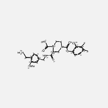 CCCC(=O)N1CCN(C(=O)Oc2ccc(C)c(C)c2Cl)C[C@H]1C(=O)NCc1ccc(CN)c(OC)c1